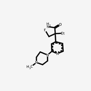 CCC(CF)(C(N)=O)c1ccnc(N2CCN(C)CC2)c1